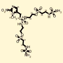 Cn1c(COP(=O)(NCCOS(=O)(=O)CCNS(N)(=O)=O)NCCOS(=O)(=O)CCNS(N)(=O)=O)cnc1[N+](=O)[O-]